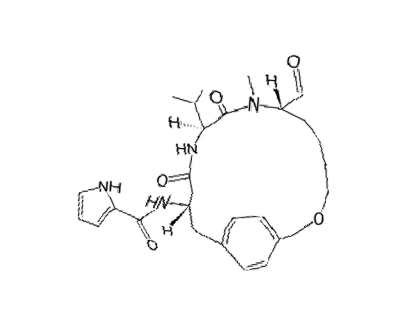 CC(C)[C@@H]1NC(=O)[C@@H](NC(=O)c2ccc[nH]2)Cc2ccc(cc2)OCCCC[C@@H](C=O)N(C)C1=O